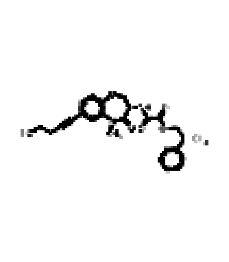 C[C@@H](CNC(=O)C(=O)N[C@H]1COc2ccc(C#CCCO)cc2N(C)C1=O)c1ccccc1